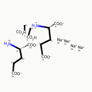 CC(=O)O.CC(=O)O.N[C@@H](CCC(=O)[O-])C(=O)[O-].N[C@@H](CCC(=O)[O-])C(=O)[O-].[Na+].[Na+].[Na+].[Na+]